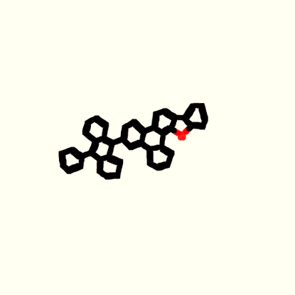 c1ccc(-c2c3ccccc3c(-c3ccc4c(c3)c3ccccc3c3c4ccc4c5ccccc5oc43)c3ccccc23)cc1